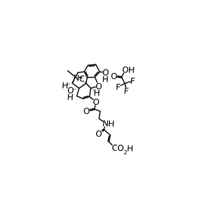 CN1CC[C@]23c4c5ccc(O)c4O[C@H]2C(OC(=O)CCNC(=O)C=CC(=O)O)=CC[C@@]3(O)[C@H]1C5.O=C(O)C(F)(F)F